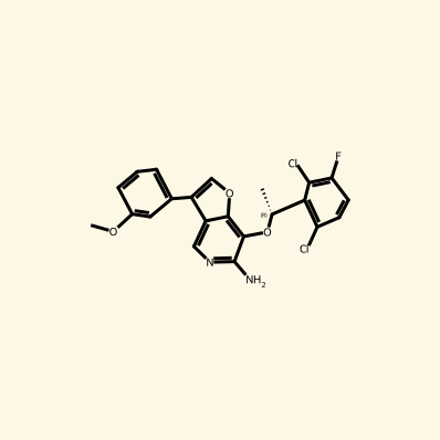 COc1cccc(-c2coc3c(O[C@H](C)c4c(Cl)ccc(F)c4Cl)c(N)ncc23)c1